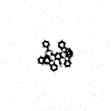 N#Cc1c(-n2c3ccccc3c3ccccc32)c(-c2nc(-c3ccccc3)nc(-c3ccccc3)n2)cc(-n2c3ccccc3c3ccccc32)c1-n1c2ccccc2c2ccccc21